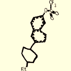 CCC1CCC(c2ccc3cc(OS(=O)(=O)C(F)(F)F)ccc3c2)CC1